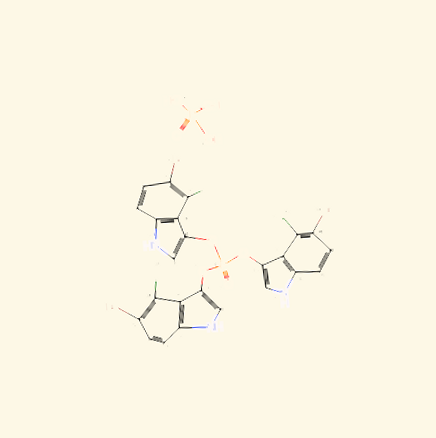 O=P(O)(O)O.O=P(Oc1c[nH]c2ccc(Br)c(Cl)c12)(Oc1c[nH]c2ccc(Br)c(Cl)c12)Oc1c[nH]c2ccc(Br)c(Cl)c12